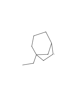 CCC12C[CH]C(CCC1)C2